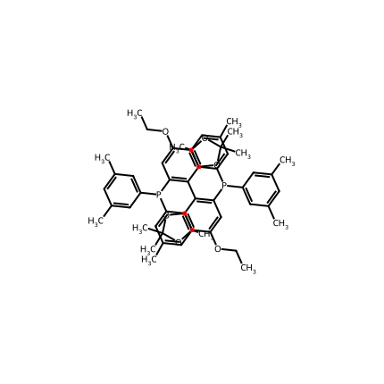 CCOc1cc(P(c2cc(C)cc(C)c2)c2cc(C)cc(C)c2)c(-c2c(P(c3cc(C)cc(C)c3)c3cc(C)cc(C)c3)cc(OCC)c3c2OC(C)(C)O3)c2c1OC(C)(C)O2